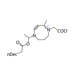 CCCCCCCCCCCC(=O)OC(C)N1C#C/C(C)=[N+](/CC(=O)[O-])CCC1